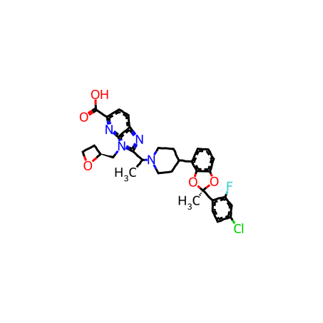 CC(c1nc2ccc(C(=O)O)nc2n1C[C@@H]1CCO1)N1CCC(c2cccc3c2O[C@](C)(c2ccc(Cl)cc2F)O3)CC1